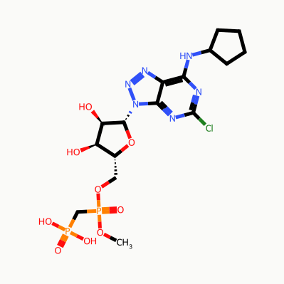 COP(=O)(CP(=O)(O)O)OC[C@H]1O[C@@H](n2nnc3c(NC4CCCC4)nc(Cl)nc32)[C@H](O)[C@@H]1O